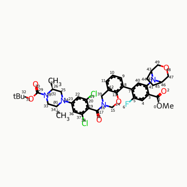 COC(=O)c1cc(F)c(-c2cccc3c2OCN(C(=O)c2c(Cl)cc(N4C[C@H](C)N(C(=O)OC(C)(C)C)C[C@H]4C)cc2Cl)C3)cc1N1C2CCC1COC2